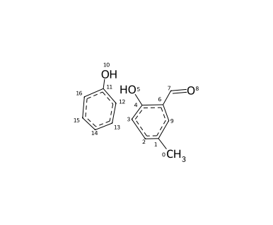 Cc1ccc(O)c(C=O)c1.Oc1ccccc1